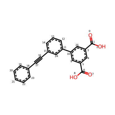 O=C(O)c1cc(C(=O)O)cc(-c2cccc(C#Cc3ccccc3)c2)c1